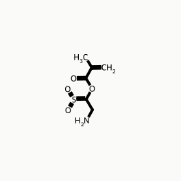 C=C(C)C(=O)OC(CN)=S(=O)=O